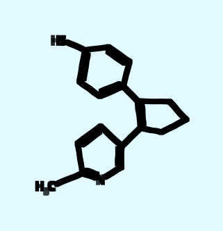 Cc1ccc(C2=C(c3ccc(S)cc3)CCC2)cn1